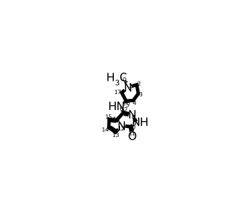 CN1CCC[C@@H](Nc2n[nH]c(=O)n3cccc23)C1